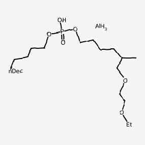 CCCCCCCCCCCCCCOP(=O)(O)OCCCCC(C)COCCOCC.[AlH3]